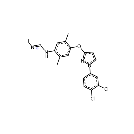 [H]/N=C/Nc1cc(C)c(Oc2ccn(-c3ccc(Cl)c(Cl)c3)n2)cc1C